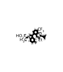 CCN(Cc1cc(C(F)(F)F)ccc1-c1cn(C(C)C(=O)O)c2ccc(F)cc12)C(=O)C1CC1